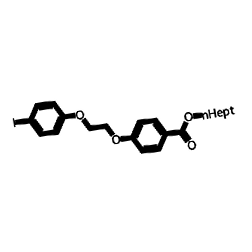 CCCCCCCOC(=O)c1ccc(OCCOc2ccc(I)cc2)cc1